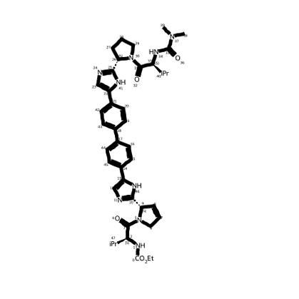 CCOC(=O)N[C@H](C(=O)N1CC=C[C@H]1c1ncc(-c2ccc(-c3ccc(-c4cnc([C@@H]5CCCN5C(=O)[C@@H](NC(=O)N(C)C)C(C)C)[nH]4)cc3)cc2)[nH]1)C(C)C